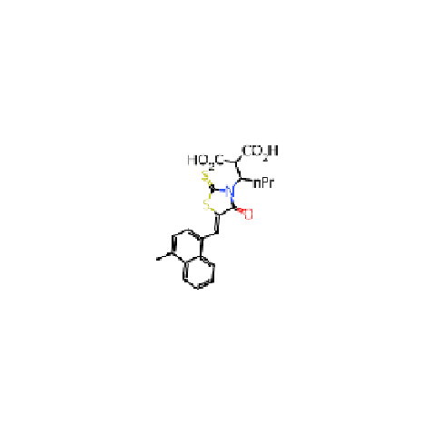 CCCC(C(C(=O)O)C(=O)O)N1C(=O)/C(=C/c2ccc(C)c3ccccc23)SC1=S